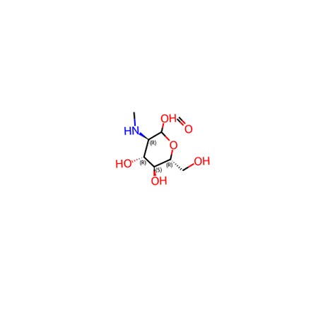 C=O.CN[C@H]1C(O)O[C@H](CO)[C@@H](O)[C@@H]1O